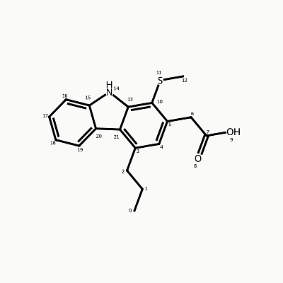 CCCc1cc(CC(=O)O)c(SC)c2[nH]c3ccccc3c12